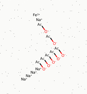 CC(=O)[O-].CC(=O)[O-].CC(=O)[O-].CC(=O)[O-].CC(=O)[O-].CC(=O)[O-].CC(=O)[O-].[Fe+2].[Na+].[Na+].[Na+].[Na+].[Na+]